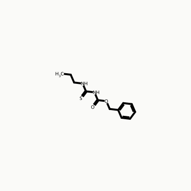 CCCNC(=S)NC(=O)OCc1ccccc1